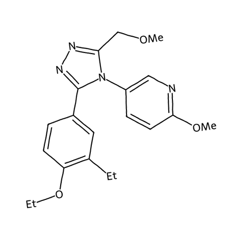 CCOc1ccc(-c2nnc(COC)n2-c2ccc(OC)nc2)cc1CC